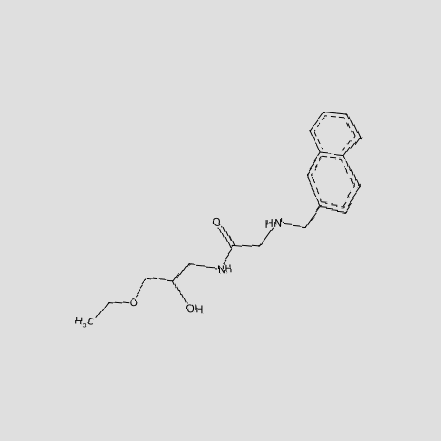 CCOCC(O)CNC(=O)CNCc1ccc2ccccc2c1